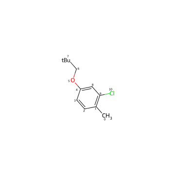 Cc1ccc(OCC(C)(C)C)cc1Cl